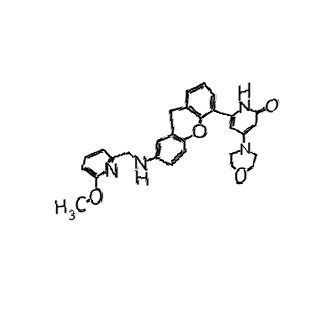 COc1cccc(CNc2ccc3c(c2)Cc2cccc(-c4cc(N5CCOCC5)cc(=O)[nH]4)c2O3)n1